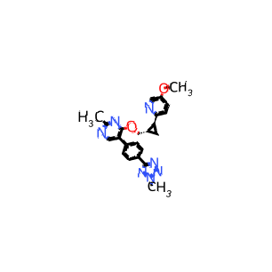 COc1ccc([C@H]2C[C@@H]2COc2nc(C)ncc2-c2ccc(-c3nnn(C)n3)cc2)nc1